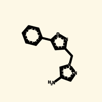 Nc1cnn(Cc2cc(-c3ccccc3)on2)c1